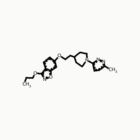 CCCOc1noc2cc(OCCC3CCN(c4ccc(C)nn4)CC3)ccc12